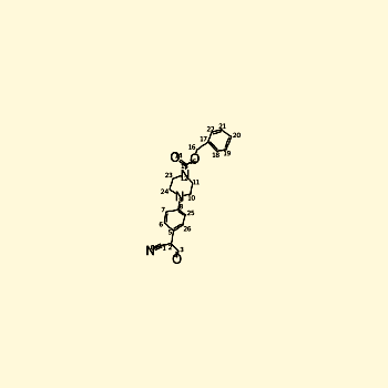 N#CC(C=O)c1ccc(N2CCN(C(=O)OCc3ccccc3)CC2)cc1